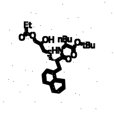 CCCC[C@H](NC(=O)[C@@H](CSCC(O)COC(=O)CC)Cc1cccc2ccccc12)C(=O)OC(C)(C)C